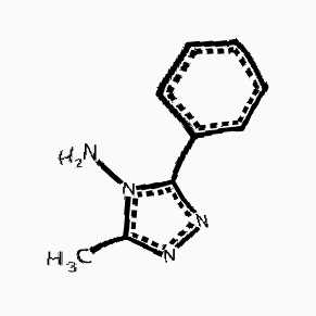 Cc1nnc(-c2ccccc2)n1N